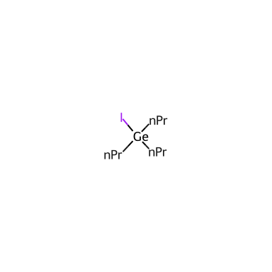 CC[CH2][Ge]([I])([CH2]CC)[CH2]CC